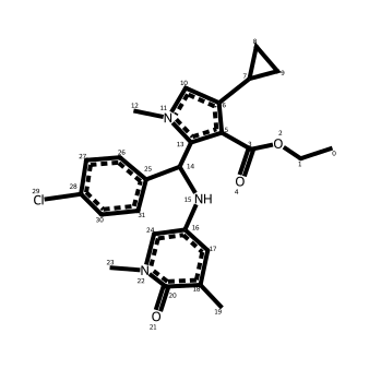 CCOC(=O)c1c(C2CC2)cn(C)c1C(Nc1cc(C)c(=O)n(C)c1)c1ccc(Cl)cc1